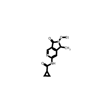 CCON1C(=O)c2cnc(NC(=O)C3CC3)cc2C1C